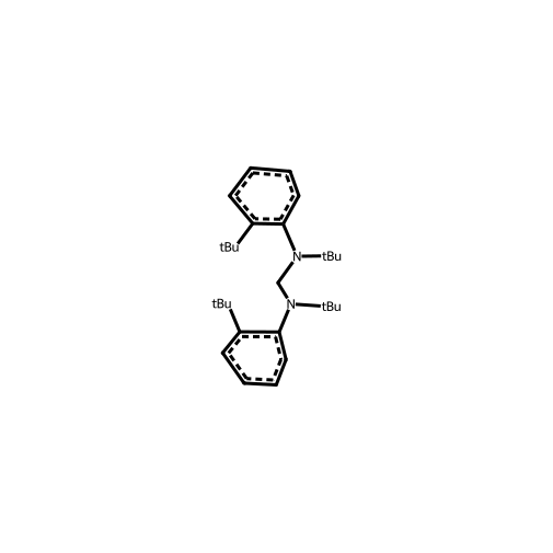 CC(C)(C)c1ccccc1N(CN(c1ccccc1C(C)(C)C)C(C)(C)C)C(C)(C)C